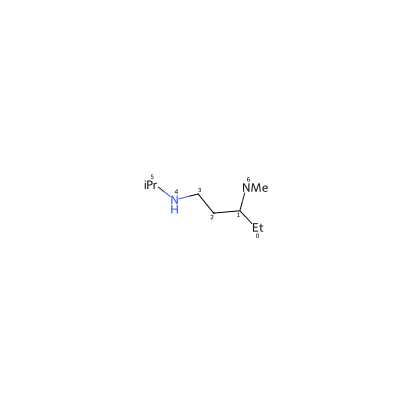 CCC(CCNC(C)C)NC